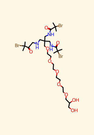 CC(C)(Br)C(=O)CNCC(CNC(=O)C(C)(C)Br)(CNC(=O)C(C)(C)Br)COCCOCCOCCOCCOCC(O)CO